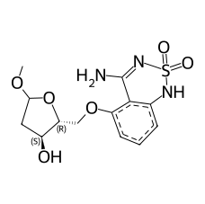 COC1C[C@H](O)[C@@H](COc2cccc3c2C(N)=NS(=O)(=O)N3)O1